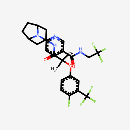 CC(C)(Oc1ccc(F)c(C(F)(F)F)c1)C(=O)NC1CC2CCC(C1)N2c1ccc(C(=O)NCC(F)(F)F)cn1